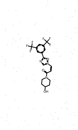 O=C(/C=C\n1cnc(-c2cc(C(F)(F)F)cc(C(F)(F)F)c2)n1)N1CCC(O)CC1